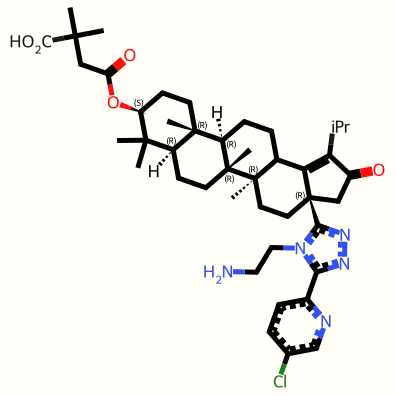 CC(C)C1=C2C3CC[C@@H]4[C@@]5(C)CC[C@H](OC(=O)CC(C)(C)C(=O)O)C(C)(C)[C@@H]5CC[C@@]4(C)[C@]3(C)CC[C@@]2(c2nnc(-c3ccc(Cl)cn3)n2CCN)CC1=O